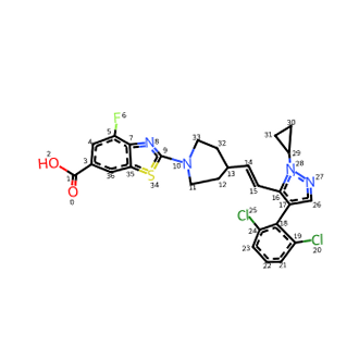 O=C(O)c1cc(F)c2nc(N3CCC(C=Cc4c(-c5c(Cl)cccc5Cl)cnn4C4CC4)CC3)sc2c1